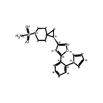 NS(=O)(=O)N1CCC2(CC1)C[C@H]2c1noc(-c2ccccc2-n2cccc2)n1